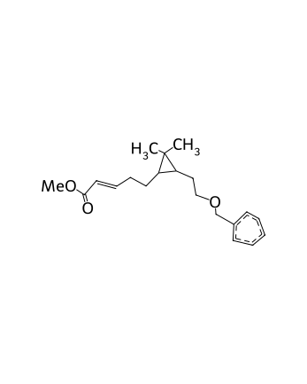 COC(=O)/C=C/CCC1C(CCOCc2ccccc2)C1(C)C